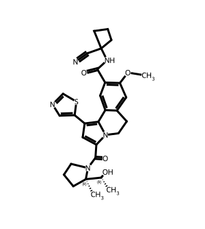 COc1cc2c(cc1C(=O)NC1(C#N)CCC1)-c1c(-c3cncs3)cc(C(=O)N3CCC[C@]3(C)[C@@H](C)O)n1CC2